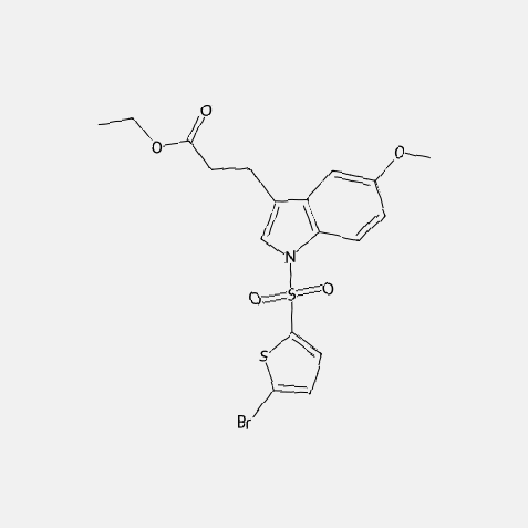 CCOC(=O)CCc1cn(S(=O)(=O)c2ccc(Br)s2)c2ccc(OC)cc12